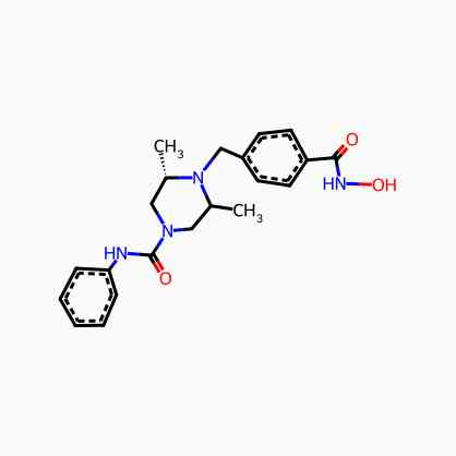 CC1CN(C(=O)Nc2ccccc2)C[C@H](C)N1Cc1ccc(C(=O)NO)cc1